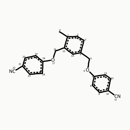 Cc1ccc(COc2ccc(C#N)cc2)cc1COc1ccc(C#N)cc1